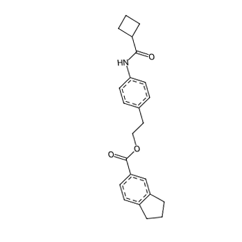 O=C(OCCc1ccc(NC(=O)C2CCC2)cc1)c1ccc2c(c1)CCC2